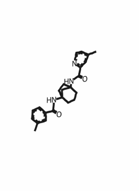 Cc1cccc(C(=O)NC23CCCC(NC(=O)c4cc(C)ccn4)(CC2)C3)c1